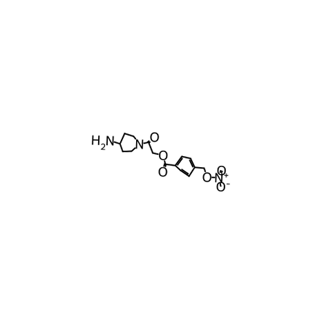 NC1CCN(C(=O)COC(=O)c2ccc(CO[N+](=O)[O-])cc2)CC1